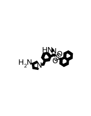 N[C@@H]1CCN(Cc2ccc3[nH]nc(S(=O)(=O)c4cccc5ccccc45)c3c2)C1